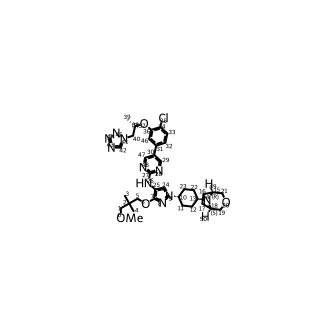 COCC(C)(C)COc1nn([C@H]2CC[C@H](N3[C@@H]4CC[C@H]3COC4)CC2)cc1Nc1ncc(-c2ccc(Cl)c(O[C@@H](C)Cn3cnnn3)c2)cn1